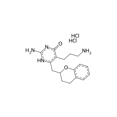 Cl.Cl.NCCCc1c(CC2CCc3ccccc3O2)[nH]c(N)nc1=O